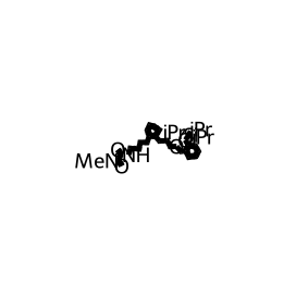 CNC(=O)C(=O)NCCCCc1ccccc1CCCOCc1ccccc1O[Si](C(C)C)(C(C)C)C(C)C